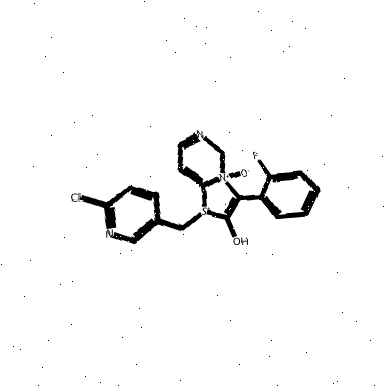 [O-][N+]12CN=CC=C1[S+](Cc1ccc(Cl)nc1)C(O)=C2c1ccccc1F